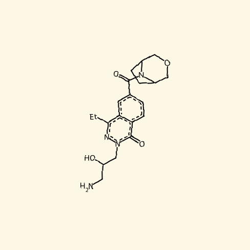 CCc1nn(CC(O)CN)c(=O)c2ccc(C(=O)N3C4CCC3COC4)cc12